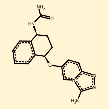 Bc1nnc2ccc(O[C@@H]3CC[C@H](NC(N)=O)c4ccccc43)cn12